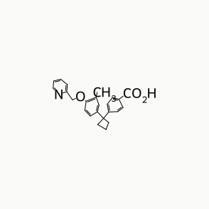 Cc1cc(C2(c3ccc(C(=O)O)cc3)CCC2)ccc1OCc1ccccn1